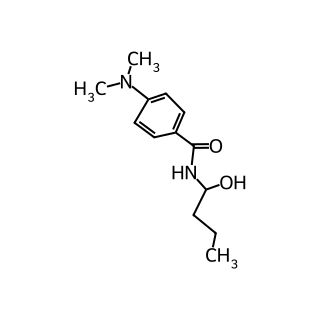 CCCC(O)NC(=O)c1ccc(N(C)C)cc1